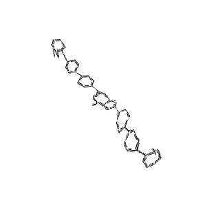 c1ccc(-c2ccc(-c3ccc(-c4cc5sc(-c6ccc(-c7ccc(-c8ccccn8)cc7)cc6)cc5s4)cc3)cc2)nc1